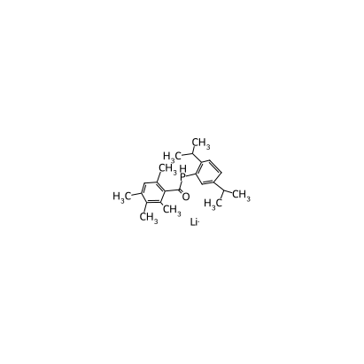 Cc1cc(C)c(C(=O)Pc2cc(C(C)C)ccc2C(C)C)c(C)c1C.[Li]